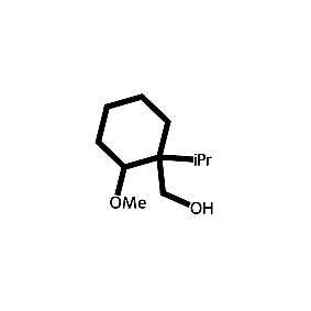 COC1CCCCC1(CO)C(C)C